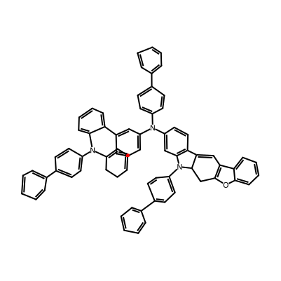 C1=CCCC(N(c2ccc(-c3ccccc3)cc2)c2ccccc2-c2cccc(N(c3ccc(-c4ccccc4)cc3)c3ccc4c(c3)N(c3ccc(-c5ccccc5)cc3)C3Cc5oc6ccccc6c5C=C43)c2)=C1